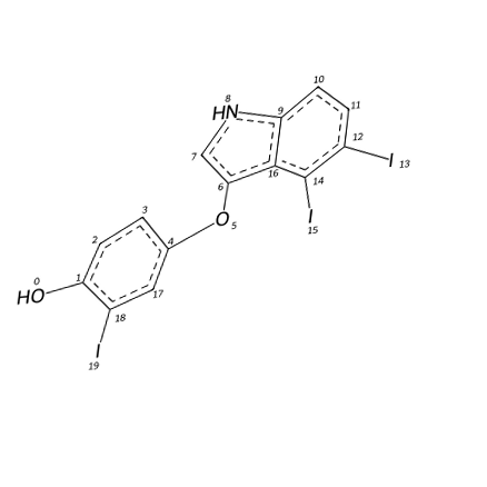 Oc1ccc(Oc2c[nH]c3ccc(I)c(I)c23)cc1I